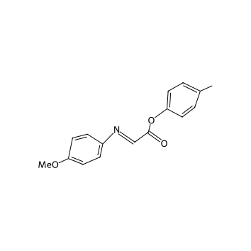 COc1ccc(N=CC(=O)Oc2ccc(C)cc2)cc1